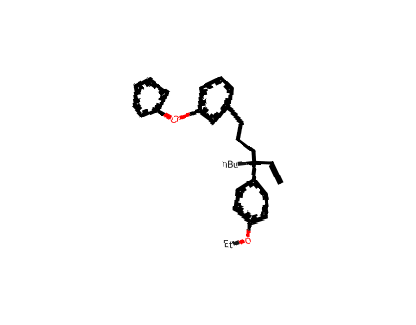 C=CC(CCCC)(CCCc1cccc(Oc2ccccc2)c1)c1ccc(OCC)cc1